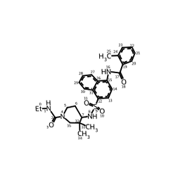 CCNC(=O)N1CCC(NS(=O)(=O)c2ccc(NC(=O)c3ccccc3C)c3ccccc23)C(C)(C)C1